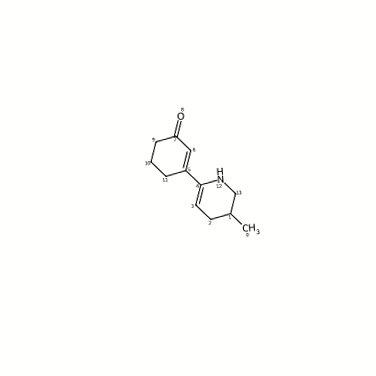 CC1CC=C(C2=CC(=O)CCC2)NC1